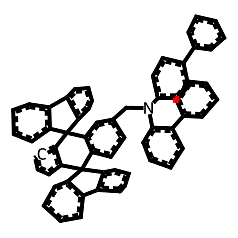 c1ccc(-c2ccc(N(Cc3ccc4c(c3)C3(c5ccccc5-c5ccccc53)c3ccccc3C43c4ccccc4-c4ccccc43)c3ccccc3-c3ccccc3)cc2)cc1